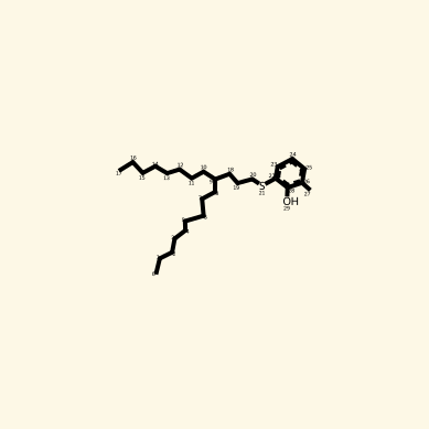 CCCCCCCCCC(CCCCCCCC)CCCSc1cccc(C)c1O